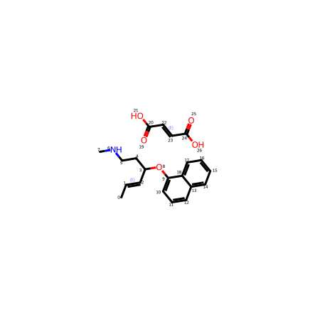 C/C=C/C(CCNC)Oc1cccc2ccccc12.O=C(O)/C=C/C(=O)O